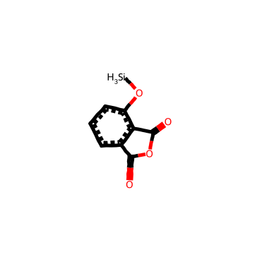 O=C1OC(=O)c2c(O[SiH3])cccc21